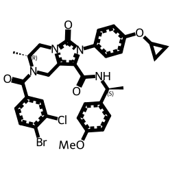 COc1ccc([C@H](C)NC(=O)c2c3n(c(=O)n2-c2ccc(OC4CC4)cc2)C[C@@H](C)N(C(=O)c2ccc(Br)c(Cl)c2)C3)cc1